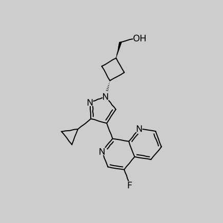 OC[C@H]1C[C@H](n2cc(-c3ncc(F)c4cccnc34)c(C3CC3)n2)C1